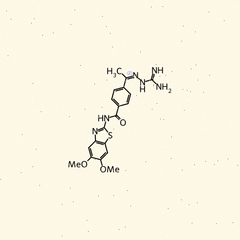 COc1cc2nc(NC(=O)c3ccc(/C(C)=N\NC(=N)N)cc3)sc2cc1OC